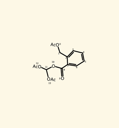 CC(=O)OCc1ccccc1C(=O)OC(OC(C)=O)OC(C)=O